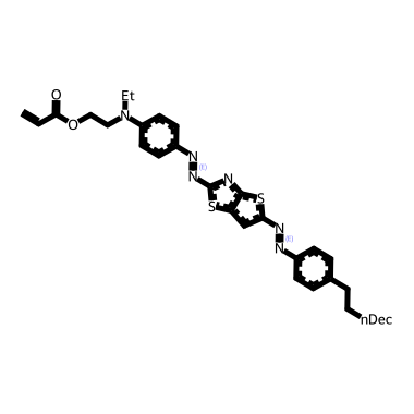 C=CC(=O)OCCN(CC)c1ccc(/N=N/c2nc3sc(/N=N/c4ccc(CCCCCCCCCCCC)cc4)cc3s2)cc1